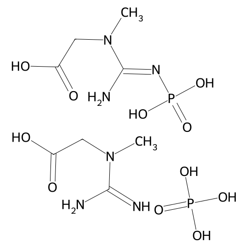 CN(CC(=O)O)C(=N)N.CN(CC(=O)O)C(N)=NP(=O)(O)O.O=P(O)(O)O